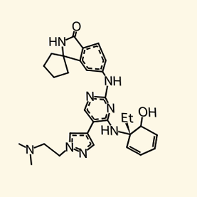 CC[C@]1(Nc2nc(Nc3ccc4c(c3)C3(CCCC3)NC4=O)ncc2-c2cnn(CCN(C)C)c2)C=CC=CC1O